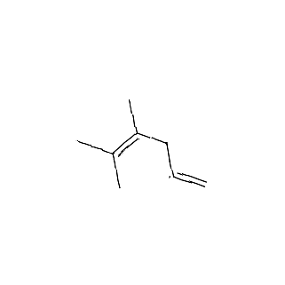 C=[C]CC(C)=C(C)C